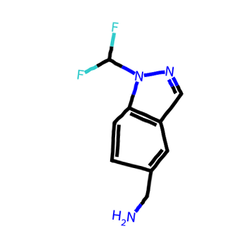 NCc1ccc2c(cnn2C(F)F)c1